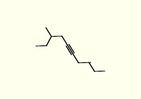 CC[CH]CC#CCC(C)CC